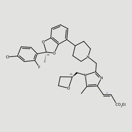 CCOC(=O)/C=C/c1nc(CN2CCC(c3cccc4c3O[C@@](C)(c3ccc(Cl)cc3F)O4)CC2)n(C[C@@H]2CCO2)c1C